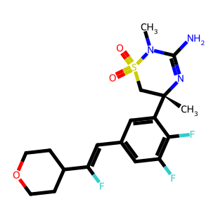 CN1C(N)=N[C@](C)(c2cc(/C=C(\F)C3CCOCC3)cc(F)c2F)CS1(=O)=O